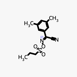 CCCS(=O)(=O)O/N=C(\C#N)c1cc(C)cc(C)c1